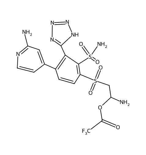 Nc1cc(-c2ccc(S(=O)(=O)CC(N)OC(=O)C(F)(F)F)c(S(N)(=O)=O)c2-c2nnn[nH]2)ccn1